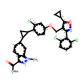 COC(=O)c1nn(C)c2cc(C3CC3c3ccc(OCc4c(-c5c(Cl)cccc5Cl)noc4C4CC4)cc3Cl)ccc12